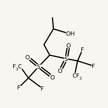 CC(O)CC(S(=O)(=O)C(F)(F)C(F)(F)F)S(=O)(=O)C(F)(F)C(F)(F)F